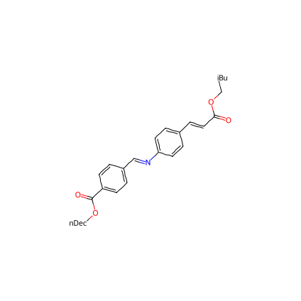 CCCCCCCCCCOC(=O)c1ccc(C=Nc2ccc(C=CC(=O)OCC(C)CC)cc2)cc1